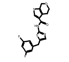 O=C(Nc1ncc(Cc2cc(F)cc(F)c2)s1)c1csc2c1CCOC2